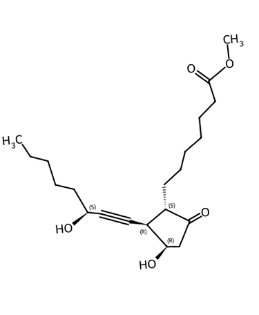 CCCCC[C@H](O)C#C[C@@H]1[C@H](O)CC(=O)[C@H]1CCCCCCC(=O)OC